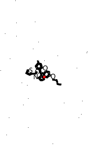 CCCCOc1ccc2c(c1)Oc1cc(C)ccc1C21OC(c2cccs2)=Nc2ccccc21